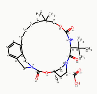 CC1(C)CCCCc2cccc3c2CN(C3)C(=O)O[C@@H]2C[C@@H](C(=O)O)N(C2)C(=O)C(C(C)(C)C)NC(=O)OC1